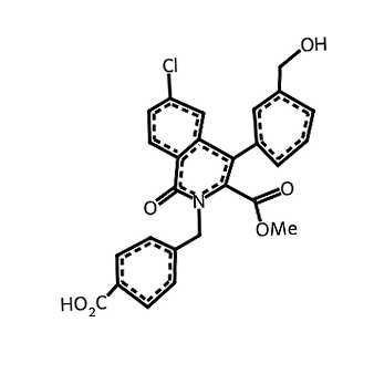 COC(=O)c1c(-c2cccc(CO)c2)c2cc(Cl)ccc2c(=O)n1Cc1ccc(C(=O)O)cc1